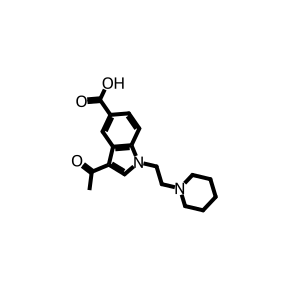 CC(=O)c1cn(CCN2CCCCC2)c2ccc(C(=O)O)cc12